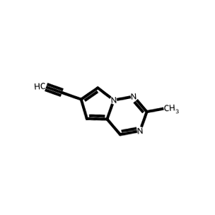 C#Cc1cc2cnc(C)nn2c1